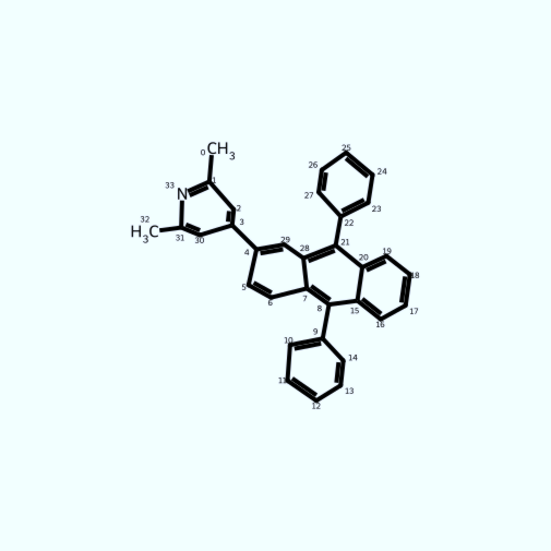 Cc1cc(-c2ccc3c(-c4ccccc4)c4ccccc4c(-c4ccccc4)c3c2)cc(C)n1